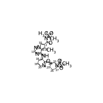 Cc1c(C(=O)N=S(C)(C)=O)cn2ncnc(Nc3cccnc3O[C@@H]3CCCN(S(C)(=O)=O)C3)c12